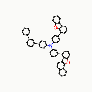 c1ccc(-c2cccc(-c3ccc(N(c4ccc(-c5cccc6c5oc5ccccc56)cc4)c4cccc(-c5cccc6oc7c8ccccc8ccc7c56)c4)cc3)c2)cc1